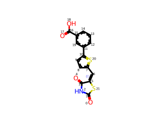 O=C1NC(=O)/C(=C\c2ccc(-c3cccc(C(=O)O)c3)s2)S1